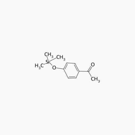 CC(=O)c1ccc(O[Si](C)(C)C)cc1